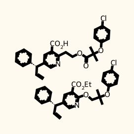 C=C[C@H](c1ccccc1)c1cnc(CCOC(=O)C(C)(C)Oc2ccc(Cl)cc2)c(C(=O)O)c1.C=C[C@H](c1ccccc1)c1cnc(OCC(C)(C)Oc2ccc(Cl)cc2)c(C(=O)OCC)c1